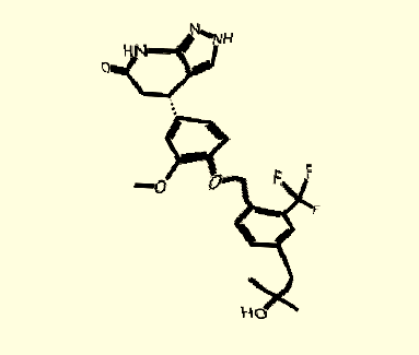 COc1cc([C@@H]2CC(=O)Nc3n[nH]cc32)ccc1OCc1ccc(CC(C)(C)O)cc1C(F)(F)F